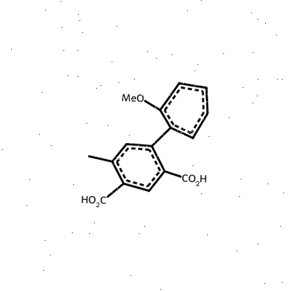 COc1ccccc1-c1cc(C)c(C(=O)O)cc1C(=O)O